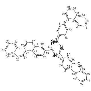 c1ccc2c(-c3ccc(-c4nc(-c5ccc6c(ccc7c8ccccc8ccc67)c5)nc(-c5ccc6c(c5)sc5ccccc56)n4)cc3)cccc2c1